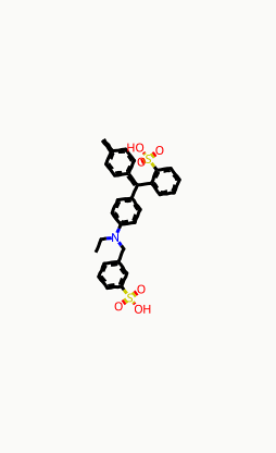 C=c1ccc(=C(c2ccc(N(CC)Cc3cccc(S(=O)(=O)O)c3)cc2)c2ccccc2S(=O)(=O)O)cc1